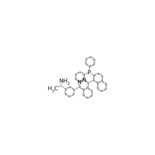 CC(N)c1cccc(-c2nnc(-c3c(P(c4ccccc4)c4ccccc4)ccc4ccccc34)c3ccccc23)c1